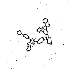 c1ccc(-c2ccc(-c3nc(-c4ccc(-n5c6ccccc6c6cc7c8ccc9ccccc9c8n8c9ccccc9c(c65)c78)cc4)nc4c3sc3ccccc34)cc2)cc1